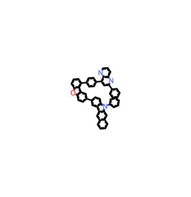 c1ccc(-c2cc(-c3ccc(-c4cccc5oc6ccc(-c7ccc8c(c7)c7cc9ccccc9cc7n8-c7ccccc7)cc6c45)cc3)c3ncccc3n2)cc1